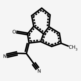 Cc1cc2cccc3c(=O)c(=C(C#N)C#N)c(c1)c23